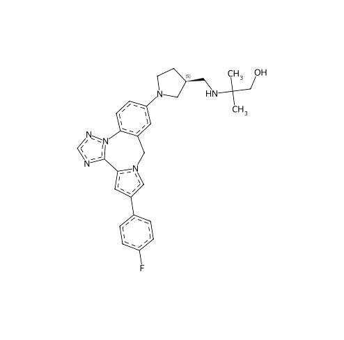 CC(C)(CO)NC[C@@H]1CCN(c2ccc3c(c2)Cn2cc(-c4ccc(F)cc4)cc2-c2ncnn2-3)C1